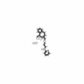 Cl.O=C(O)CC1CC(COCCCNc2ccccn2)=CCc2ccccc21